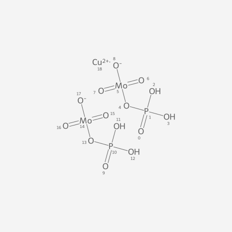 O=P(O)(O)[O][Mo](=[O])(=[O])[O-].O=P(O)(O)[O][Mo](=[O])(=[O])[O-].[Cu+2]